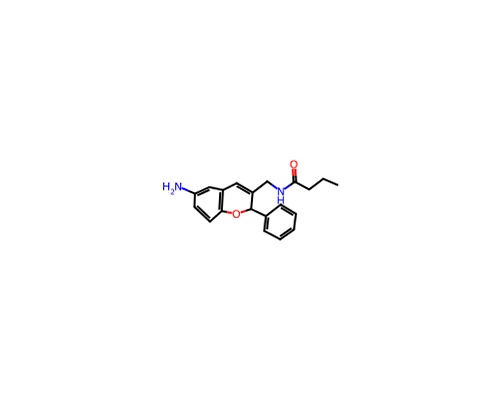 CCCC(=O)NCC1=Cc2cc(N)ccc2OC1c1ccccc1